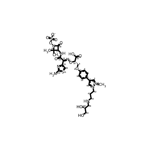 C[n+]1cc(-c2ccc(OC[C@H](O/N=C(/C(=O)NC3C(=O)N(OS(=O)(=O)[O-])C3(C)C)c3csc(N)n3)C(=O)O)cc2)cn1CCCNC[C@H](O)CO